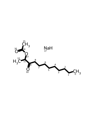 CCCCCCCCCC(=O)C(C)OC(C)=O.[NaH]